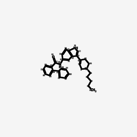 CCCCCN1CC=C(c2c[nH]c3ccc(NC(=O)c4ccccc4-c4ccccc4)cc23)CC1